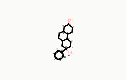 BC1CCC2C(CCC3CC(B)(c4ccccc4)CCC32)C1